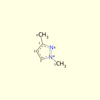 Cc1ccn(C)n1